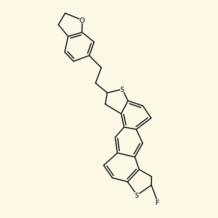 FC1Cc2c(ccc3cc4c5c(ccc4cc23)SC(CCc2ccc3c(c2)OCC3)C5)S1